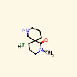 CN1CCCC2(CCCNC2)C1=O.[Cl-].[H+]